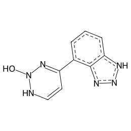 ON1N=C(c2cccc3[nH]nnc23)C=CN1